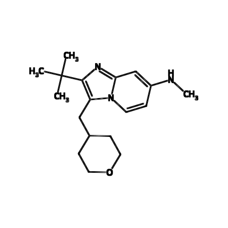 CNc1ccn2c(CC3CCOCC3)c(C(C)(C)C)nc2c1